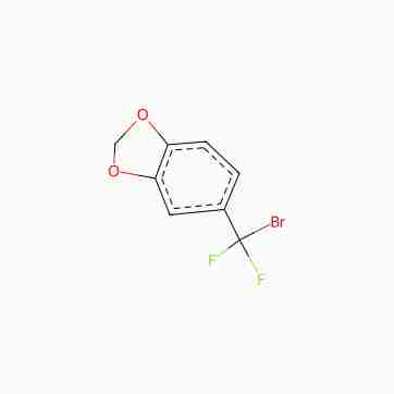 FC(F)(Br)c1ccc2c(c1)OCO2